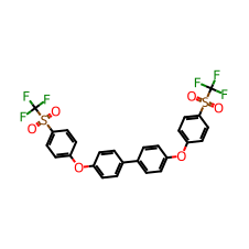 O=S(=O)(c1ccc(Oc2ccc(-c3ccc(Oc4ccc(S(=O)(=O)C(F)(F)F)cc4)cc3)cc2)cc1)C(F)(F)F